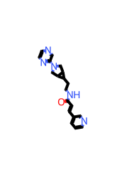 O=C(/C=C/c1cccnc1)NCCC1C2CN(c3cnccn3)CC12